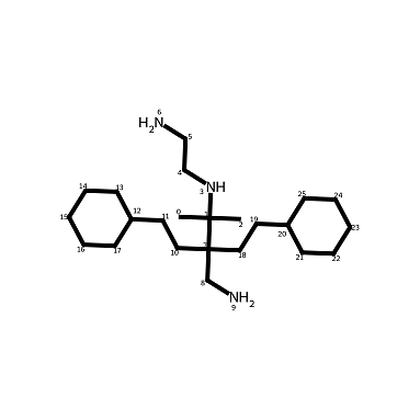 CC(C)(NCCN)C(CN)(CCC1CCCCC1)CCC1CCCCC1